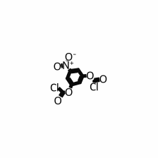 O=C(Cl)Oc1cc(OC(=O)Cl)cc([N+](=O)[O-])c1